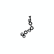 COC(=O)c1ccc(COc2cccc(-c3ccc(OCC4CC4)cc3)c2)cc1